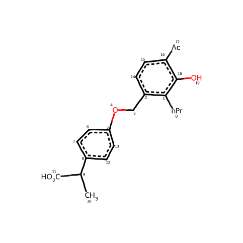 CCCc1c(COc2ccc(C(C)C(=O)O)cc2)ccc(C(C)=O)c1O